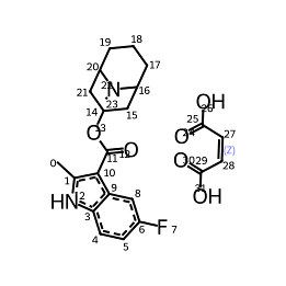 Cc1[nH]c2ccc(F)cc2c1C(=O)OC1CC2CCCC(C1)N2C.O=C(O)/C=C\C(=O)O